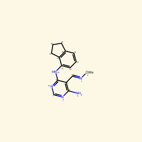 CO/N=C/c1c(N)ncnc1Nc1cccc2c1CCC2